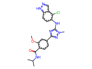 COc1cc(-c2nc(Nc3ccc4[nH]ncc4c3Cl)n(C)n2)ccc1C(=O)NC(C)C